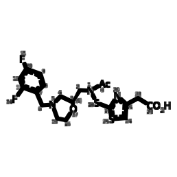 CC(=O)N(C[C@@H]1CN(Cc2ccc(F)cc2F)CCO1)Sc1nc(CC(=O)O)cs1